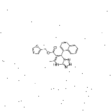 CC1=C(C(=O)OCc2cccs2)C(c2cccc3ccccc23)n2nnnc2N1